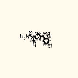 NC(=O)c1n[nH]c2nc([C@H](CCl)c3ccc(Cl)cc3Cl)cnc12